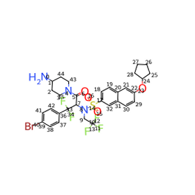 NC1CCN(C(=O)C(N(CC(F)(F)F)S(=O)(=O)c2ccc3cc(OC4CCCC4)ccc3c2)C(F)(F)c2ccc(Br)cc2)CC1